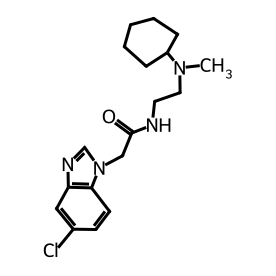 CN(CCNC(=O)Cn1cnc2cc(Cl)ccc21)C1CCCCC1